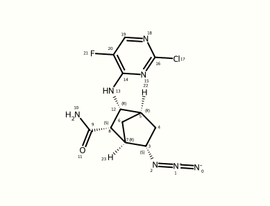 [N-]=[N+]=N[C@H]1C[C@H]2C[C@@H]1[C@H](C(N)=O)[C@@H]2Nc1nc(Cl)ncc1F